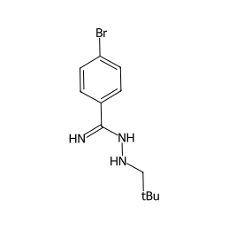 CC(C)(C)CNNC(=N)c1ccc(Br)cc1